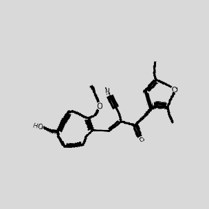 COc1cc(O)ccc1C=C(C#N)C(=O)c1cc(C)oc1C